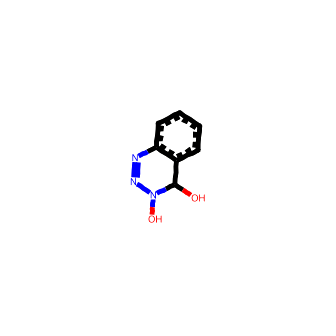 OC1c2ccccc2N=NN1O